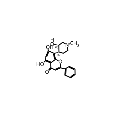 CN1CC[C@@H](c2c(O)cc(O)c3c(=O)cc(-c4ccccc4)oc23)[C@@H](O)C1